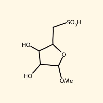 COC1OC(CS(=O)(=O)O)C(O)C1O